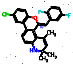 CC1=CC(C)(C)Nc2ccc3c(c21)/C(=C/c1cc(F)ccc1F)Oc1ccc(Cl)cc1-3